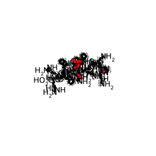 N=C(N)NCCC[C@H](NC(=O)[C@H](CCCNC(=N)N)NC(=O)[C@H](Cc1c[nH]c2ccccc12)NC(=O)[C@H](Cc1c[nH]c2ccccc12)NC(=O)[C@H](CCCCN)NC(=O)[C@H](Cc1c[nH]c2ccccc12)NC(=O)[C@H](Cc1c[nH]c2ccccc12)NC(=O)[C@H](CCCNC(=N)N)NC(=O)[C@H](CCCCN)NC(=O)CNC(=O)[C@H](CCCCN)NC(=O)[C@H](Cc1c[nH]cn1)NC(=O)[C@@H](N)CCCCN)C(=O)O